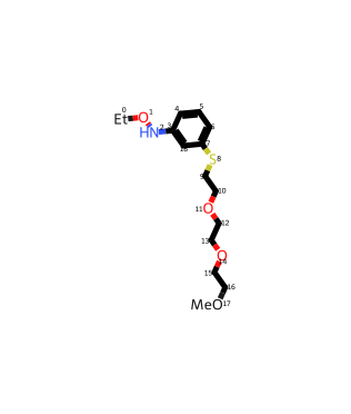 CCONc1cccc(SCCOCCOCCOC)c1